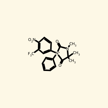 CN1C(=O)[N+](c2ccccc2)(c2ccc([N+](=O)[O-])c(C(F)(F)F)c2)C(=O)C1(C)C